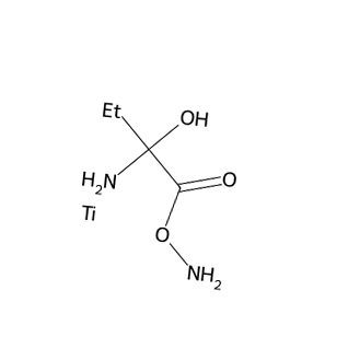 CCC(N)(O)C(=O)ON.[Ti]